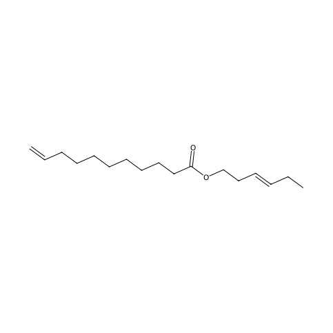 C=CCCCCCCCCC(=O)OCC/C=C/CC